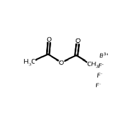 CC(=O)OC(C)=O.[B+3].[F-].[F-].[F-]